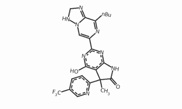 CCCCC1=NC(c2nc(O)c3c(n2)NC(=O)C3(C)c2ccc(C(F)(F)F)cn2)=CN2NCN=C12